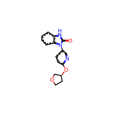 O=c1[nH]c2ccccc2n1-c1ccc(O[C@H]2CCOC2)nc1